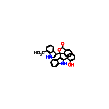 O=C1OC(c2c(-c3ccccc3O)[nH]c3ccccc23)(c2c[nH]c3c(C(=O)O)cccc23)c2ccccc21